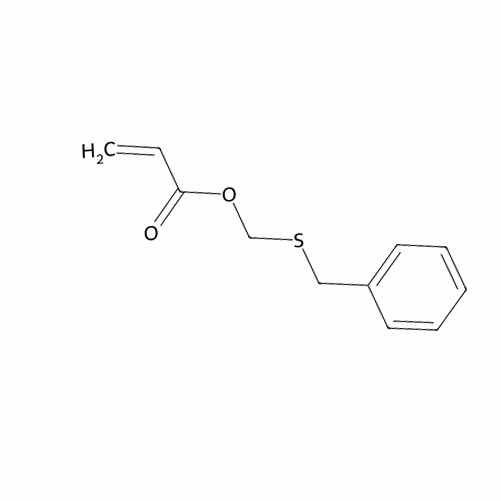 C=CC(=O)OCSCc1ccccc1